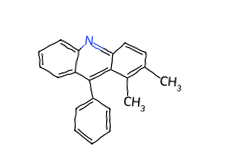 Cc1ccc2nc3ccccc3c(-c3ccccc3)c2c1C